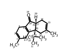 CC1=CCC2=C(C1)[C@@]1([Si](C)(C)C)CC(C)=CC[C@H]1C2=O